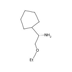 CCOC[C@@H](N)C1CCCCC1